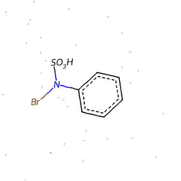 O=S(=O)(O)N(Br)c1ccccc1